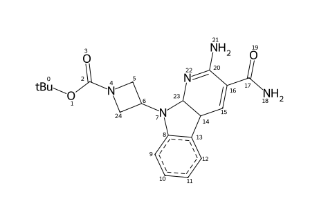 CC(C)(C)OC(=O)N1CC(N2c3ccccc3C3C=C(C(N)=O)C(N)=NC32)C1